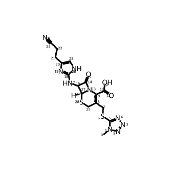 Cn1nnnc1SCC1=C(C(=O)O)N2C(=O)C(Nc3nc(CCC#N)c[nH]3)[C@H]2SC1